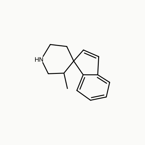 CC1CNCCC12C=Cc1ccccc12